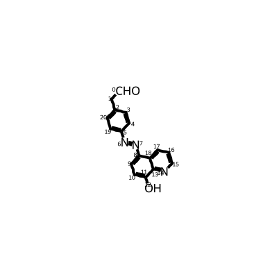 O=CCc1ccc(N=Nc2ccc(O)c3ncccc23)cc1